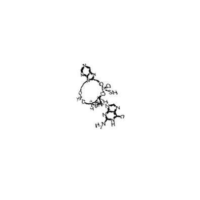 Nc1nc2c(ncn2[C@@H]2O[C@@H]3COPOCCn4c(nc5cncnc54)COP(=O)(S)O[C@@H]2[C@@H]3O)c(=O)[nH]1